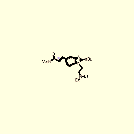 CCCCc1nc2cc(/C=C/C(=O)NC)ccc2n1CCN(CC)CC